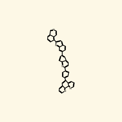 c1cc(-c2ccc3ccc(-c4ccc5nc(-c6ccc(-c7cc8cccnc8c8ncccc78)cc6)ccc5c4)cc3n2)c2ccncc2c1